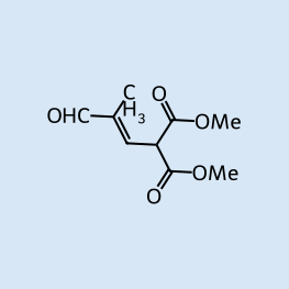 COC(=O)C(/C=C(\C)C=O)C(=O)OC